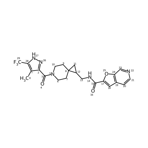 Cc1c(C(=O)N2CCC3(CC2)CC3CNC(=O)c2cc3ccncc3o2)n[nH]c1C(F)(F)F